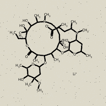 CCC1OC(=O)C(C)C(OC2CC(C)(OC)C(O)C(C)O2)C(C)C(OC2OC(C)CC(N(C)C(C)CCC(=O)[O-])C2O)C(C)(O)CC(C)CN(C)C(C)C(O)C1(C)O.[Li+]